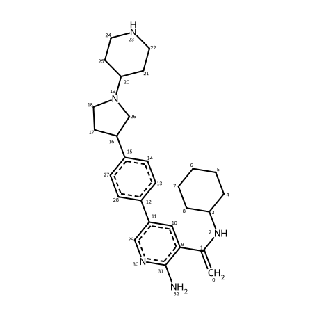 C=C(NC1CCCCC1)c1cc(-c2ccc(C3CCN(C4CCNCC4)C3)cc2)cnc1N